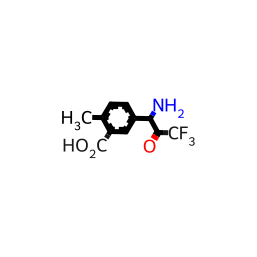 Cc1ccc(C(N)C(=O)C(F)(F)F)cc1C(=O)O